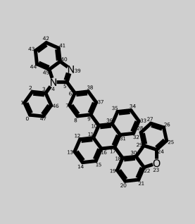 c1ccc(-n2c(-c3ccc(-c4c5ccccc5c(-c5cccc6oc7ccccc7c56)c5ccccc45)cc3)nc3ccccc32)cc1